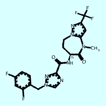 CN1C(=O)[C@@H](NC(=O)c2ncn(Cc3ccc(F)cc3F)n2)CCn2nc(C(F)(F)F)cc21